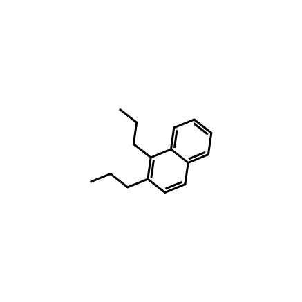 CCCc1ccc2ccccc2c1CCC